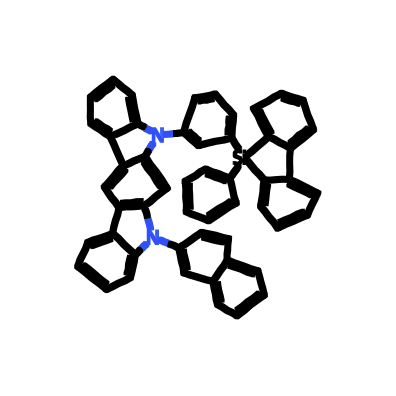 c1ccc([Si]2(c3cccc(-n4c5ccccc5c5cc6c7ccccc7n(-c7ccc8ccccc8c7)c6cc54)c3)c3ccccc3-c3ccccc32)cc1